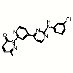 Cc1ccc(=O)n(-c2cc(-c3ccnc(Nc4cccc(Cl)c4)n3)ccn2)n1